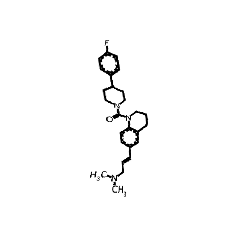 CN(C)C/C=C/c1ccc2c(c1)CCCN2C(=O)N1CCC(c2ccc(F)cc2)CC1